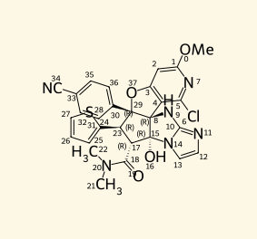 COc1cc2c(c(Cl)n1)[C@]13Nc4nccn4[C@@]1(O)[C@H](C(=O)N(C)C)[C@@H](c1cccs1)[C@]3(c1ccc(C#N)cc1)O2